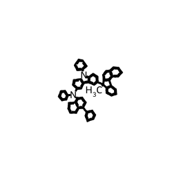 CC1(c2ccc3c(c2)c2cc(N(c4ccccc4)c4ccc(-c5ccccc5)c5ccccc45)ccc2n3-c2ccccc2)c2ccccc2-c2c1ccc1ccccc21